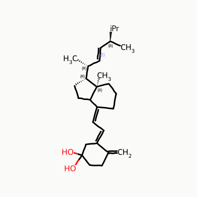 C=C1CCC(O)(O)CC1=CC=C1CCC[C@@]2(C)C1CC[C@@H]2[C@H](C)/C=C/[C@H](C)C(C)C